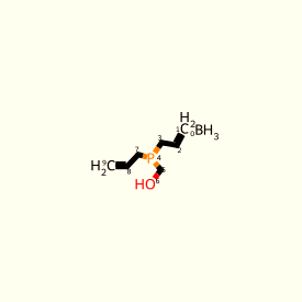 B.C=CCP(CO)CC=C